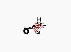 C[SiH](O[Si](C)(C)C)O[Si](C)(CCCc1ccccc1)O[Si](C)(C)C